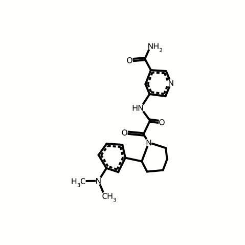 CN(C)c1cccc(C2CCCCN2C(=O)C(=O)Nc2cncc(C(N)=O)c2)c1